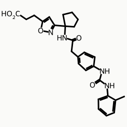 Cc1ccccc1NC(=O)Nc1ccc(CC(=O)NC2(c3cc(CCC(=O)O)on3)CCCC2)cc1